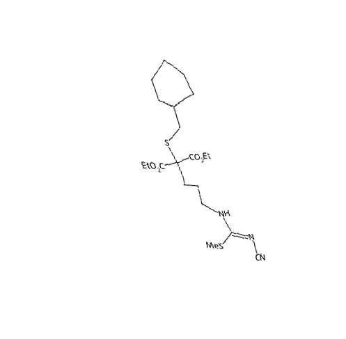 CCOC(=O)C(CCCN/C(=N/C#N)SC)(SCC1CCCCC1)C(=O)OCC